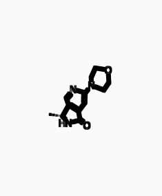 C[C@H]1NC(=O)c2cc(N3CCOCC3)ncc21